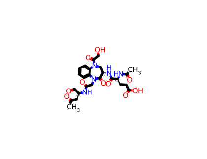 CC(=O)C[C@@H](C=O)NC(=O)CN1C(=O)[C@@H](NC(=O)[C@H](CCC(=O)O)NC(C)=O)CN(C(=O)CO)c2ccccc21